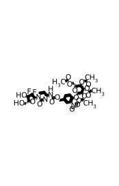 CC(=O)OC[C@H]1O[C@@H](Oc2ccc(COC(=O)Nc3ccn([C@@H]4O[C@H](CO)[C@@H](O)C4(F)F)c(=O)n3)cc2[N+](=O)[O-])[C@H](OC(C)=O)[C@@H](OC(C)=O)[C@H]1OC(C)=O